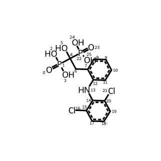 O=P(O)(O)C(O)(Cc1ccccc1Nc1c(Cl)cccc1Cl)P(=O)(O)O